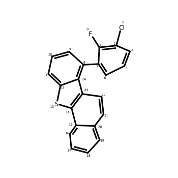 Fc1c(Cl)cccc1-c1cccc2sc3c4ccccc4ccc3c12